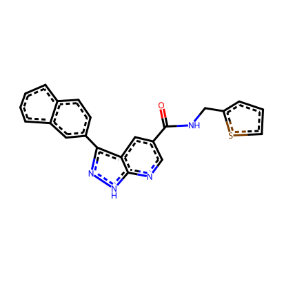 O=C(NCc1cccs1)c1cnc2[nH]nc(-c3ccc4ccccc4c3)c2c1